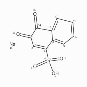 O=C1C=C(S(=O)(=O)O)c2ccccc2C1=O.[Na]